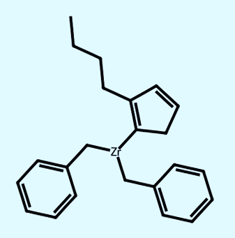 CCCCC1=[C]([Zr]([CH2]c2ccccc2)[CH2]c2ccccc2)CC=C1